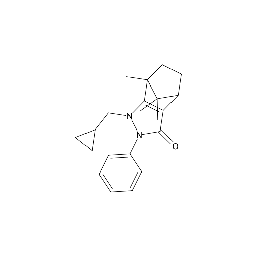 CC12CCC(c3c1n(CC1CC1)n(-c1ccccc1)c3=O)C2(C)C